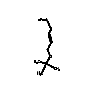 CCCCCCC=CCO[Si](C)(C)C